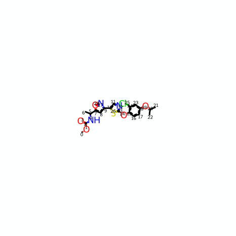 COC(=O)NC(C)c1cc(-c2cnc(Oc3ccc(OC(C)C)cc3Cl)s2)no1